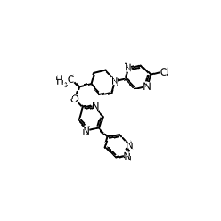 CC(Oc1cnc(-c2ccnnc2)cn1)C1CCN(c2cnc(Cl)cn2)CC1